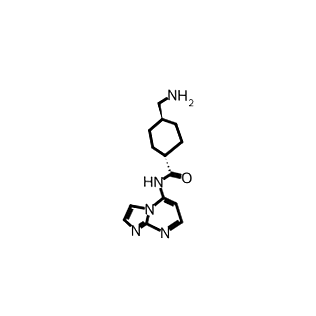 NC[C@H]1CC[C@H](C(=O)Nc2ccnc3nccn23)CC1